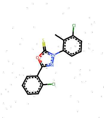 Cc1c(Cl)cccc1-n1nc(-c2ccccc2Cl)oc1=S